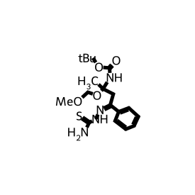 COCOC(C)(CC(=NNC(N)=S)c1ccccc1)NC(=O)OC(C)(C)C